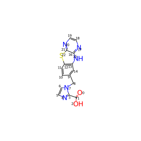 O=C(O)c1nccn1Cc1ccc2c(c1)Nc1nccnc1S2